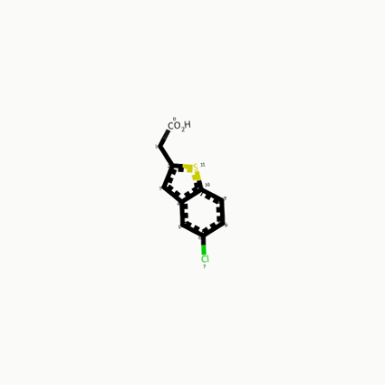 O=C(O)Cc1cc2cc(Cl)ccc2s1